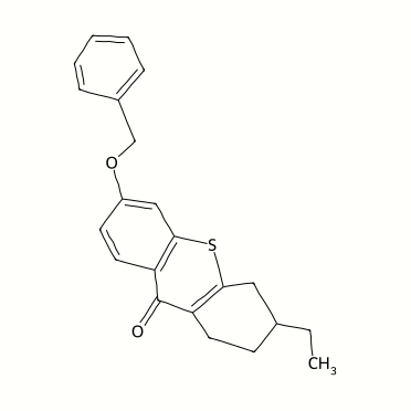 CCC1CCc2c(sc3cc(OCc4ccccc4)ccc3c2=O)C1